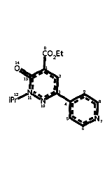 CCOC(=O)c1cc(-c2ccncc2)nn(C(C)C)c1=O